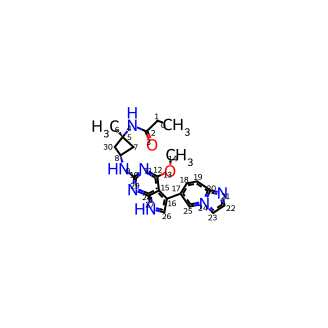 CCC(=O)N[C@]1(C)C[C@@H](Nc2nc(OC)c3c(-c4ccc5nccn5c4)c[nH]c3n2)C1